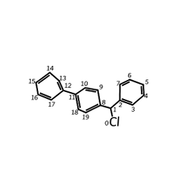 ClC(c1ccccc1)c1ccc(-c2ccccc2)cc1